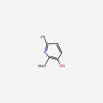 [C-]#[N+]c1ccc(O)c(OC)n1